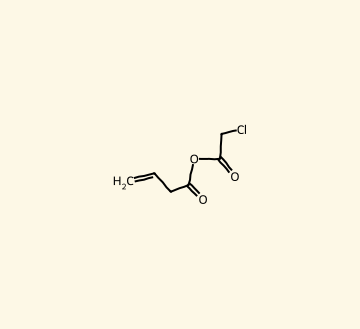 C=CCC(=O)OC(=O)CCl